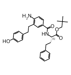 CC(C)(C)COC(=O)[C@H](CCc1ccccc1)NC(=O)c1ccc(N)c(CCc2ccc(O)cc2)c1